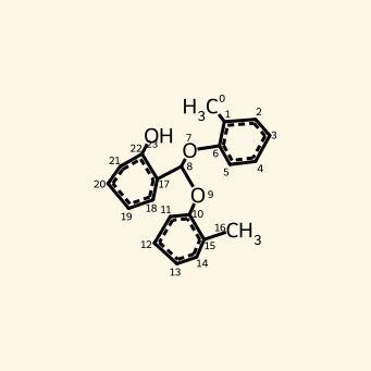 Cc1ccccc1OC(Oc1ccccc1C)c1ccccc1O